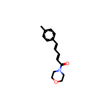 Cc1ccc(/C=C/C=C/C(=O)N2CCOCC2)cc1